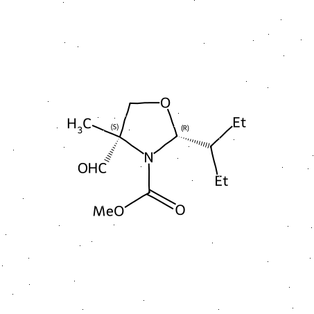 CCC(CC)[C@H]1OC[C@@](C)(C=O)N1C(=O)OC